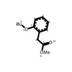 CCC(C)Oc1ccccc1CC(=O)OC